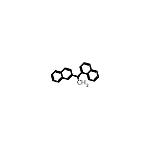 C[C](c1ccc2ccccc2c1)c1cccc2ccccc12